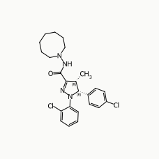 C[C@H]1C(C(=O)NN2CCCCCCC2)=NN(c2ccccc2Cl)[C@H]1c1ccc(Cl)cc1